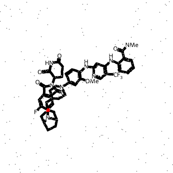 CNC(=O)c1ccccc1Nc1cc(Nc2ccc(N3CCC(CN4CC5CCC(C4)N5c4cc5c(cc4F)C(=O)N(C4CCC(=O)NC4=O)C5=O)CC3)cc2OC)ncc1C(F)(F)F